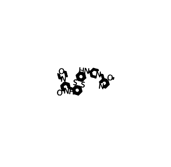 COc1ccncc1CN1CCC(Nc2ccc3c(c2)Sc2cccc(-c4cc(N5CCOCC5)cc(=O)[nH]4)c2S3)CC1